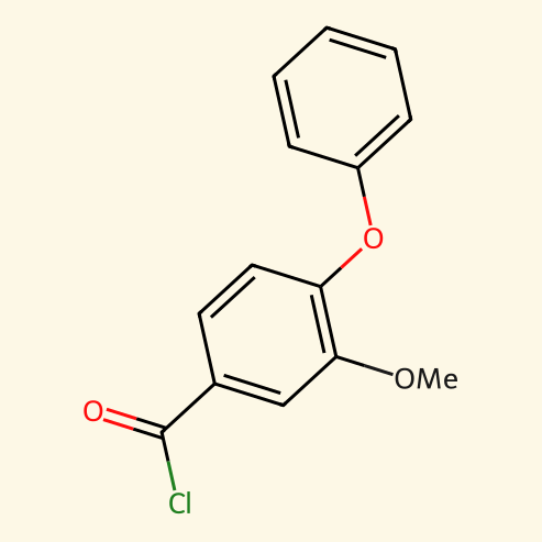 COc1cc(C(=O)Cl)ccc1Oc1ccccc1